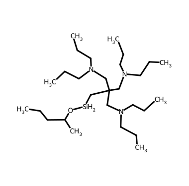 CCCC(C)O[SiH2]CC(CN(CCC)CCC)(CN(CCC)CCC)CN(CCC)CCC